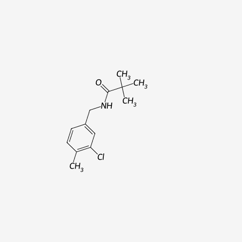 Cc1ccc(CNC(=O)C(C)(C)C)cc1Cl